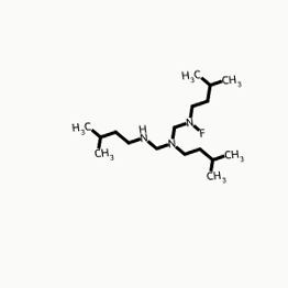 CC(C)CCNCN(CCC(C)C)CN(F)CCC(C)C